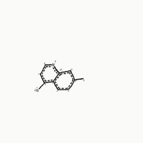 Cc1ccc2c(S)ccnc2c1